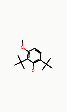 COc1ccc(C(C)(C)C)c([O])c1C(C)(C)C